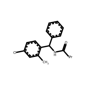 Cc1cc(Cl)ccc1C(NC(=O)C(C)C)c1ccccc1